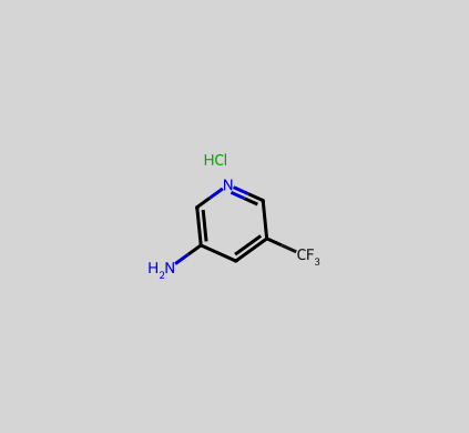 Cl.Nc1cncc(C(F)(F)F)c1